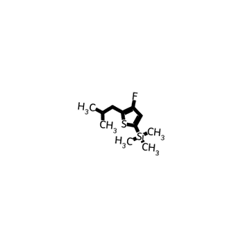 CC(C)Cc1sc([Si](C)(C)C)cc1F